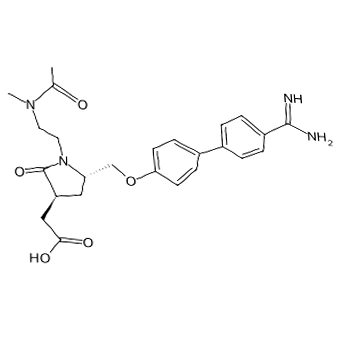 CC(=O)N(C)CCN1C(=O)[C@H](CC(=O)O)C[C@H]1COc1ccc(-c2ccc(C(=N)N)cc2)cc1